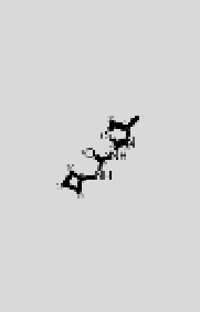 Cc1csc(NC(=O)NC2CCC2)n1